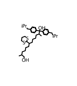 CC(C)Cc1ccc(C(O)(c2ccc(CC(C)C)cc2)C(C)CCCCC(CCCCC(C)CO)C2SCCCS2)cc1